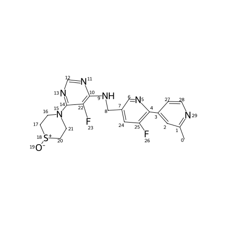 Cc1cc(-c2ncc(CNc3ncnc(N4CC[S+]([O-])CC4)c3F)cc2F)ccn1